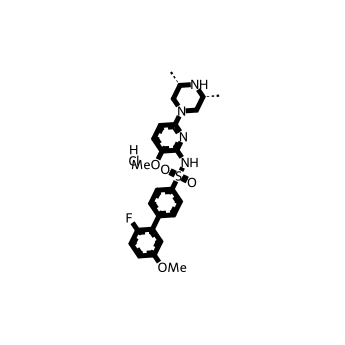 COc1ccc(F)c(-c2ccc(S(=O)(=O)Nc3nc(N4C[C@@H](C)N[C@@H](C)C4)ccc3OC)cc2)c1.Cl